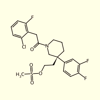 CS(=O)(=O)OCC[C@]1(c2ccc(F)c(F)c2)CCCN(C(=O)Cc2c(F)cccc2Cl)C1